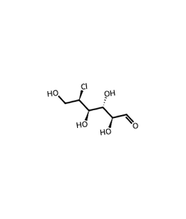 O=C[C@@H](O)[C@@H](O)[C@@H](O)[C@H](Cl)CO